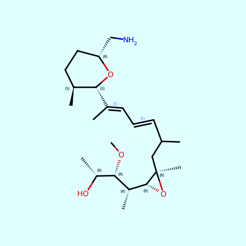 CO[C@H]([C@@H](C)[C@H]1O[C@]1(C)CC(C)/C=C/C=C(\C)[C@H]1O[C@@H](CN)CC[C@@H]1C)[C@@H](C)O